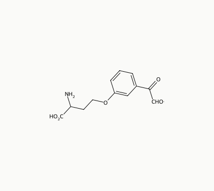 NC(CCOc1cccc(C(=O)[C]=O)c1)C(=O)O